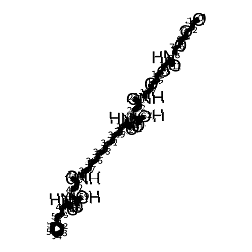 O=[C]COCCOCCNC(=O)COCCOCCNC(=O)CC[C@H](NC(=O)CCCCCCCCCCCNC(=O)CC[C@H](NC(=O)CCCc1ccccc1)C(=O)O)C(=O)O